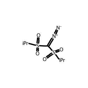 CC(C)S(=O)(=O)C(=[N+]=[N-])S(=O)(=O)C(C)C